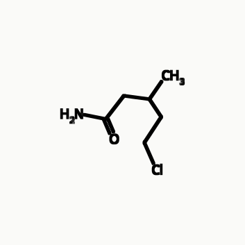 CC(CCCl)CC(N)=O